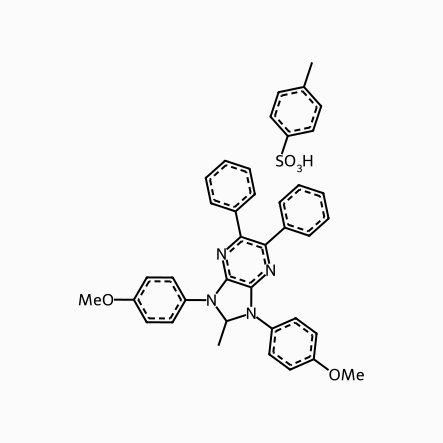 COc1ccc(N2c3nc(-c4ccccc4)c(-c4ccccc4)nc3N(c3ccc(OC)cc3)C2C)cc1.Cc1ccc(S(=O)(=O)O)cc1